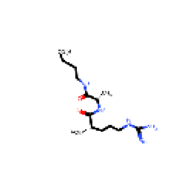 CC(=O)N[C@@H](CCCNC(=N)N)C(=O)N[C@@H](C)C(=O)NCCCC(=O)O